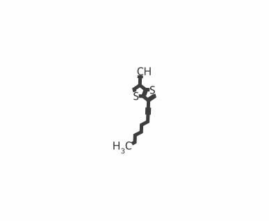 C#CC1CSc2c(C#CCCCCCC)csc21